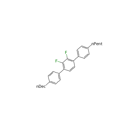 CCCCCCCCCCc1ccc(-c2ccc(-c3ccc(CCCCC)cc3)c(F)c2F)cc1